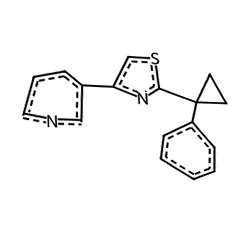 c1ccc(C2(c3nc(-c4cccnc4)cs3)CC2)cc1